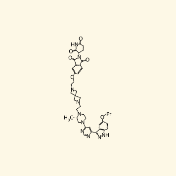 CC(C)Oc1ccc2[nH]nc(-c3cc(N4CCN(CCN5CC6(CN(CCOc7ccc8c(c7)C(=O)N(C7CCC(=O)NC7=O)C8=O)C6)C5)[C@@H](C)C4)ncn3)c2c1